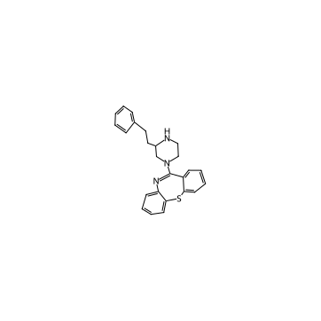 c1ccc(CCC2CN(C3=Nc4ccccc4Sc4ccccc43)CCN2)cc1